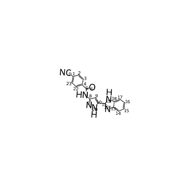 N#Cc1ccc(C(=O)Nc2cc(-c3nc4ccccc4[nH]3)[nH]n2)cc1